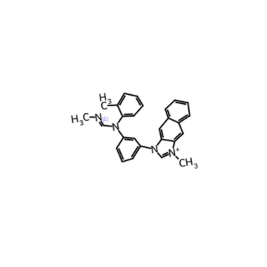 C/N=C/N(c1cccc(-n2c[n+](C)c3cc4ccccc4cc32)c1)c1ccccc1C